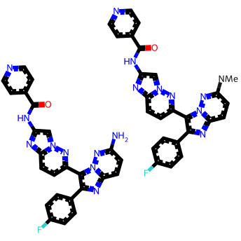 CNc1ccc2nc(-c3ccc(F)cc3)c(-c3ccc4nc(NC(=O)c5ccncc5)cn4n3)n2n1.Nc1ccc2nc(-c3ccc(F)cc3)c(-c3ccc4nc(NC(=O)c5ccncc5)cn4n3)n2n1